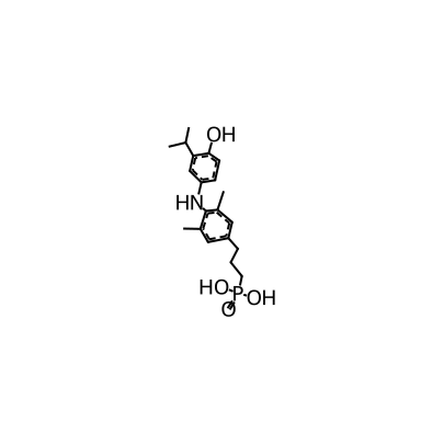 Cc1cc(CCCP(=O)(O)O)cc(C)c1Nc1ccc(O)c(C(C)C)c1